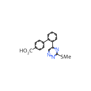 CSc1nncc(-c2ccccc2-c2ccc(C(=O)O)cc2)n1